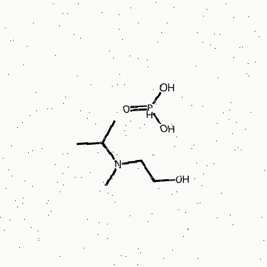 CC(C)N(C)CCO.O=[PH](O)O